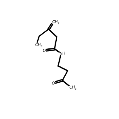 C=C(CC)CC(=O)NCCC(C)=O